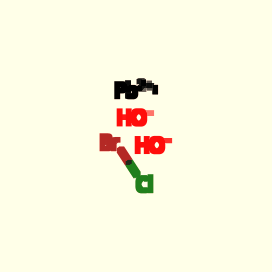 ClBr.[OH-].[OH-].[Pb+2]